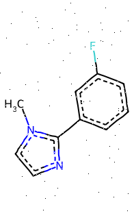 Cn1ccnc1-c1cccc(F)c1